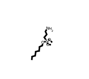 CCCCCCCO[Si](CCCN)(OC)OC